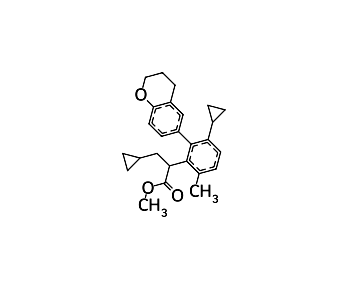 COC(=O)C(CC1CC1)c1c(C)ccc(C2CC2)c1-c1ccc2c(c1)CCCO2